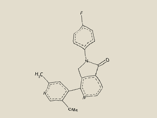 COc1cnc(C)cc1-c1nccc2c1CN(c1ccc(F)cc1)C2=O